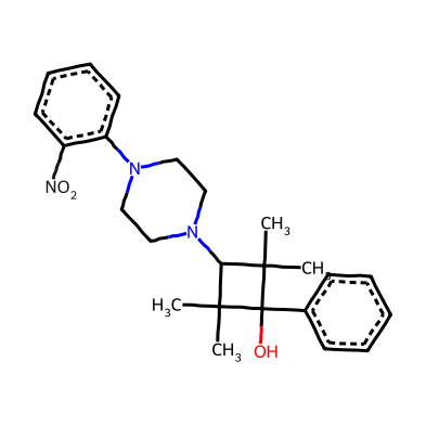 CC1(C)C(N2CCN(c3ccccc3[N+](=O)[O-])CC2)C(C)(C)C1(O)c1ccccc1